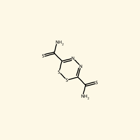 NC(=S)C1=NN=C(C(N)=S)SS1